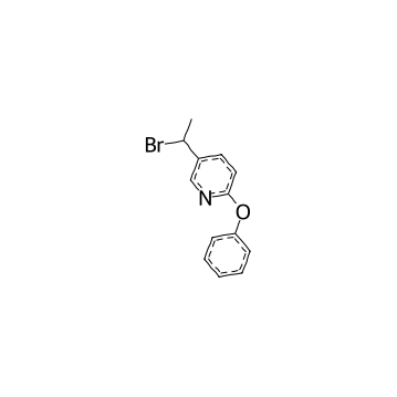 CC(Br)c1ccc(Oc2ccccc2)nc1